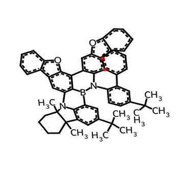 CC(C)(C)c1ccc(N2B3c4cc(C(C)(C)C)cc5c4N(c4cc6c(oc7ccccc76)c(c43)-c3cc4oc6ccccc6c4cc32)C2(C)CCCCC52C)c(-c2ccccc2)c1